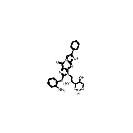 Nc1ccccc1Sc1nc2c(=O)n3cc(-c4ccccc4)[nH]c3nc2n1C[C@@H](O)C1OPOCC1O